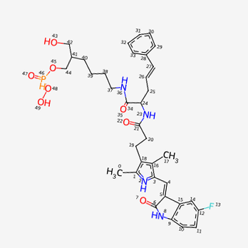 Cc1[nH]c(/C=C2\C(=O)Nc3ccc(F)cc32)c(C)c1CCC(=O)NC(C/C=C/c1ccccc1)C(=O)NCCCCC(CO)CO[PH](=O)OO